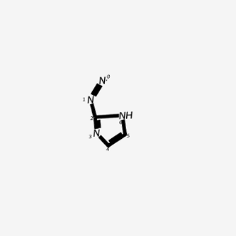 [N]=Nc1ncc[nH]1